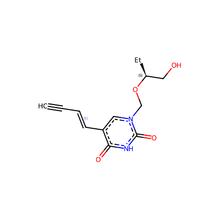 C#C/C=C/c1cn(CO[C@@H](CC)CO)c(=O)[nH]c1=O